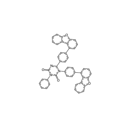 O=c1nc(-c2ccc(-c3cccc4oc5ccccc5c34)cc2)n(-c2ccc(-c3cccc4oc5ccccc5c34)cc2)c(=O)n1-c1ccccc1